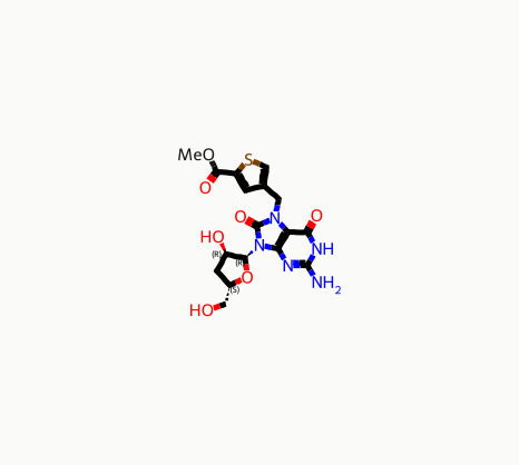 COC(=O)c1cc(Cn2c(=O)n([C@@H]3O[C@H](CO)C[C@H]3O)c3nc(N)[nH]c(=O)c32)cs1